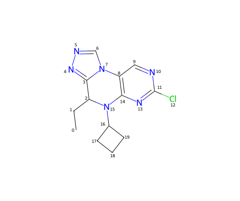 CCC1c2nncn2-c2cnc(Cl)nc2N1C1CCC1